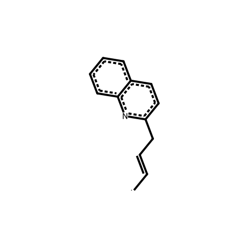 [CH2]/C=C/Cc1ccc2ccccc2n1